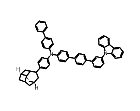 c1ccc(-c2ccc(N(c3ccc(-c4ccc(-c5cccc(-n6c7ccccc7c7ccccc76)c5)cc4)cc3)c3ccc(C45C[C@@H]6CC7C[C@@H](C4)[C@@]7(C6)C5)cc3)cc2)cc1